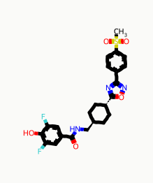 CS(=O)(=O)c1ccc(-c2noc([C@H]3CC[C@H](CNC(=O)c4cc(F)c(O)c(F)c4)CC3)n2)cc1